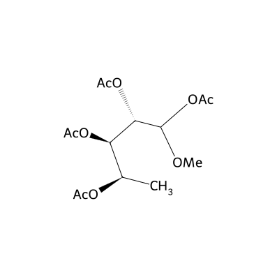 COC(OC(C)=O)[C@@H](OC(C)=O)[C@H](OC(C)=O)[C@@H](C)OC(C)=O